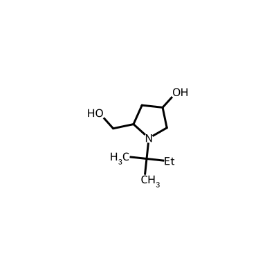 CCC(C)(C)N1CC(O)CC1CO